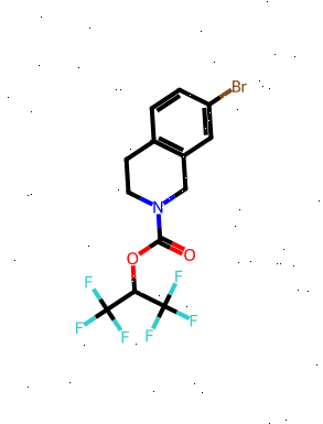 O=C(OC(C(F)(F)F)C(F)(F)F)N1CCc2ccc(Br)cc2C1